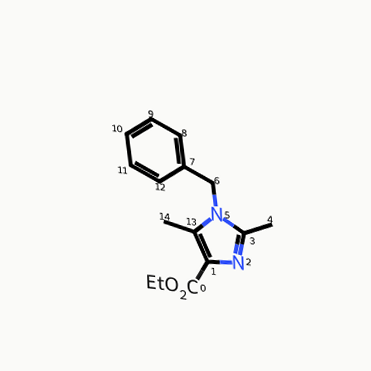 CCOC(=O)c1nc(C)n(Cc2ccccc2)c1C